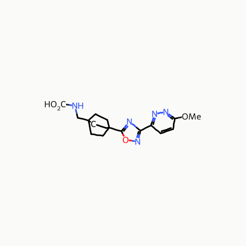 COc1ccc(-c2noc(C34CCC(CNC(=O)O)(CC3)CC4)n2)nn1